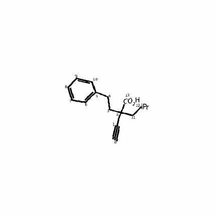 C#CC(CCc1ccccc1)(CC(C)C)C(=O)O